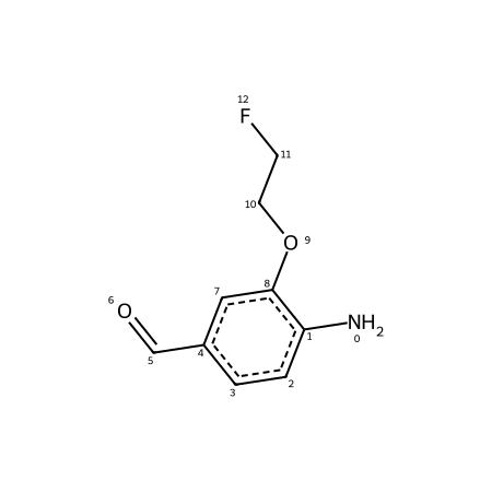 Nc1ccc(C=O)cc1OCCF